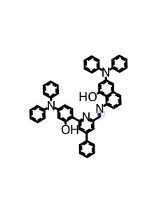 Oc1cc(N(c2ccccc2)c2ccccc2)ccc1-c1cc(-c2ccccc2)cc(/C=N/c2cccc3cc(N(c4ccccc4)c4ccccc4)cc(O)c23)n1